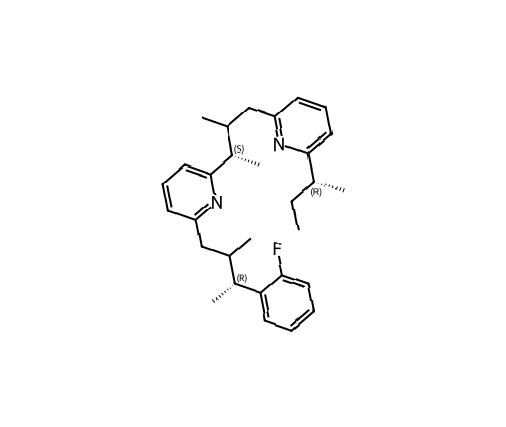 CC[C@@H](C)c1cccc(CC(C)[C@H](C)c2cccc(CC(C)[C@@H](C)c3ccccc3F)n2)n1